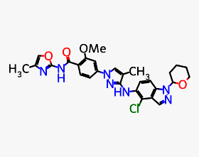 COc1cc(-n2cc(C)c(Nc3ccc4c(cnn4C4CCCCO4)c3Cl)n2)ccc1C(=O)Nc1nc(C)co1